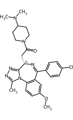 COc1ccc2c(c1)C(c1ccc(Cl)cc1)=N[C@@H](CC(=O)N1CCC(N(C)C)CC1)c1nnc(C)n1-2